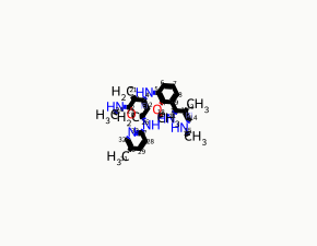 C=C(/C=C(/Nc1cccc(C(=N)/C(C)=C\NC)c1OC)C(=C)C(=O)NC)Nc1ccc(C)cn1